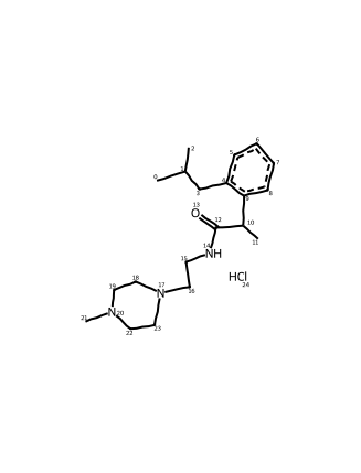 CC(C)Cc1ccccc1C(C)C(=O)NCCN1CCN(C)CC1.Cl